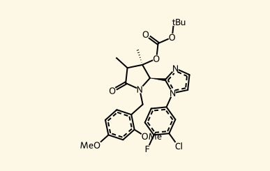 COc1ccc(CN2C(=O)C(C)[C@@](C)(OC(=O)OC(C)(C)C)[C@H]2c2nccn2-c2ccc(F)c(Cl)c2)c(OC)c1